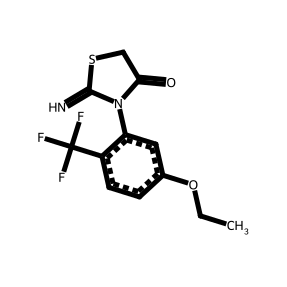 CCOc1ccc(C(F)(F)F)c(N2C(=N)SCC2=O)c1